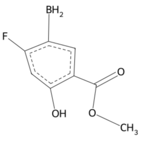 Bc1cc(C(=O)OC)c(O)cc1F